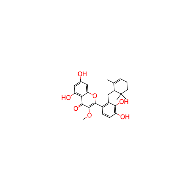 COc1c(-c2ccc(O)c(O)c2CC2C(C)=CCCC2(C)C)oc2cc(O)cc(O)c2c1=O